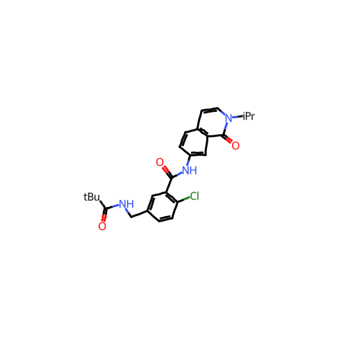 CC(C)n1ccc2ccc(NC(=O)c3cc(CNC(=O)C(C)(C)C)ccc3Cl)cc2c1=O